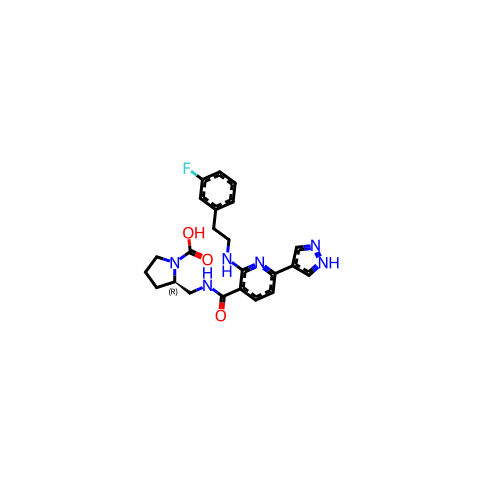 O=C(NC[C@H]1CCCN1C(=O)O)c1ccc(-c2cn[nH]c2)nc1NCCc1cccc(F)c1